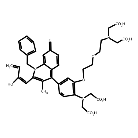 C=C/C(O)=C\c1c(C)c(-c2ccc(N(CC(=O)O)CC(=O)O)c(OCCOCCN(CC(=O)O)CC(=O)O)c2)c2ccc(=O)cc-2n1Cc1ccccc1